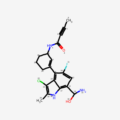 CC#CC(=O)NC1C=C(c2c(F)cc(C(N)O)c3[nH]c(C)c(Cl)c23)CCC1